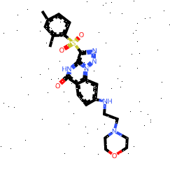 Cc1ccc(S(=O)(=O)c2nnn3c2[nH]c(=O)c2ccc(NCCN4CCOCC4)cc23)c(C)c1